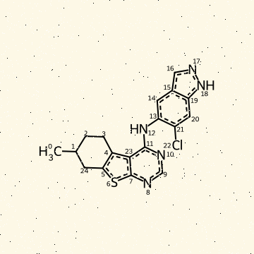 CC1CCc2c(sc3ncnc(Nc4cc5cn[nH]c5cc4Cl)c23)C1